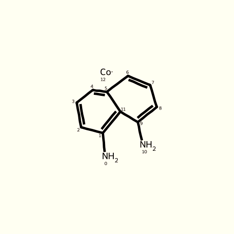 Nc1cccc2cccc(N)c12.[Co]